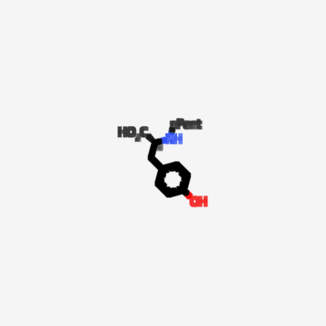 CCCCCN[C@@H](Cc1ccc(O)cc1)C(=O)O